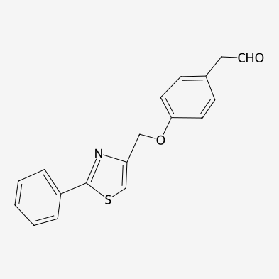 O=CCc1ccc(OCc2csc(-c3ccccc3)n2)cc1